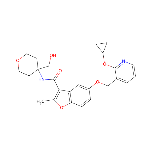 Cc1oc2ccc(OCc3cccnc3OC3CC3)cc2c1C(=O)NC1(CO)CCOCC1